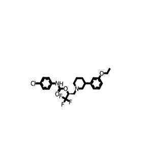 CCOc1cccc(C2CCCN(C[C@H](OC(=O)Nc3ccc(Cl)cc3)C(F)(F)F)C2)c1